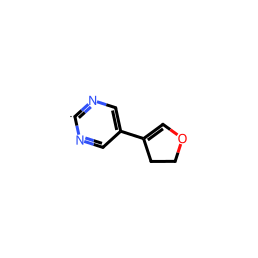 [c]1ncc(C2=COCC2)cn1